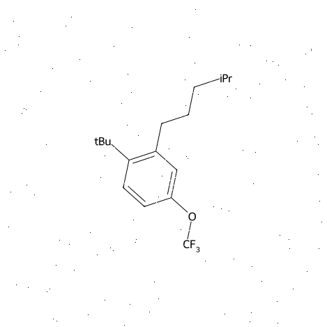 CC(C)CCCc1cc(OC(F)(F)F)ccc1C(C)(C)C